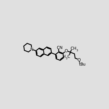 CC(C)(C)OCCC(C)(C)Oc1cccc(-c2ccc3cc(N4CCCCC4)ccc3c2)c1C#N